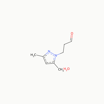 Cc1cc(C)n(CCC=O)n1.O